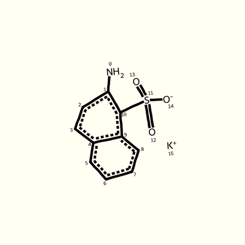 Nc1ccc2ccccc2c1S(=O)(=O)[O-].[K+]